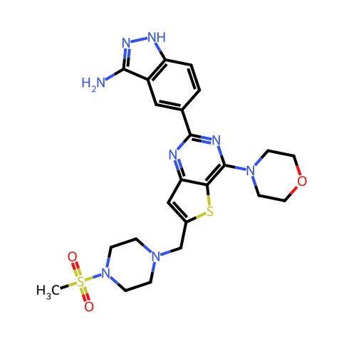 CS(=O)(=O)N1CCN(Cc2cc3nc(-c4ccc5[nH]nc(N)c5c4)nc(N4CCOCC4)c3s2)CC1